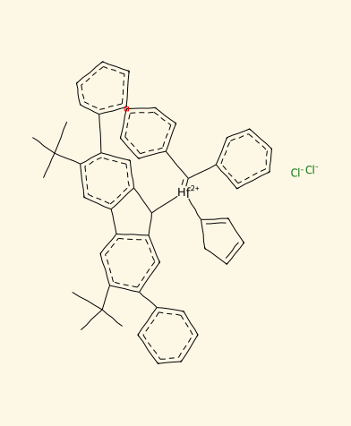 CC(C)(C)c1cc2c(cc1-c1ccccc1)[CH]([Hf+2]([C]1=CC=CC1)=[C](c1ccccc1)c1ccccc1)c1cc(-c3ccccc3)c(C(C)(C)C)cc1-2.[Cl-].[Cl-]